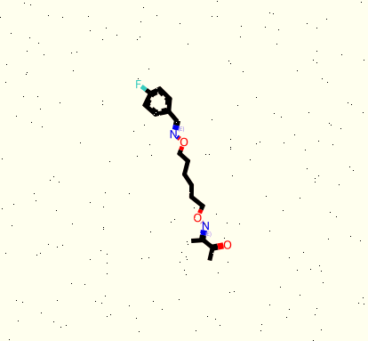 CC(=O)/C(C)=N/OCCCCCCO/N=C/c1ccc(F)cc1